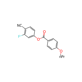 CCCOc1ccc(C(=O)Oc2ccc(C#N)c(F)c2)cc1